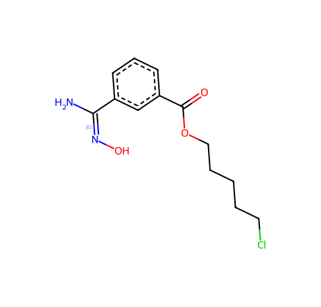 N/C(=N/O)c1cccc(C(=O)OCCCCCCl)c1